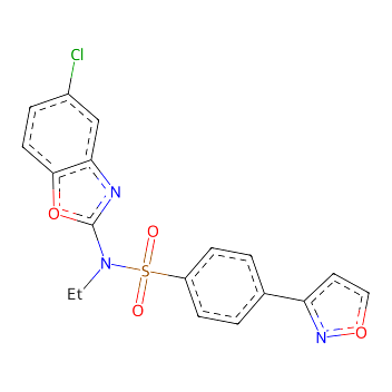 CCN(c1nc2cc(Cl)ccc2o1)S(=O)(=O)c1ccc(-c2ccon2)cc1